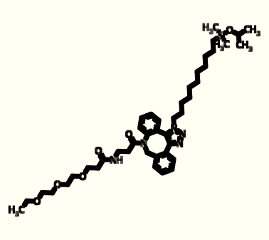 CCOCCOCCOCCC(=O)NCCC(=O)N1Cc2ccccc2-c2nnn(CCCCCCCCCCC[Si](C)(C)OC(C)C)c2-c2ccccc21